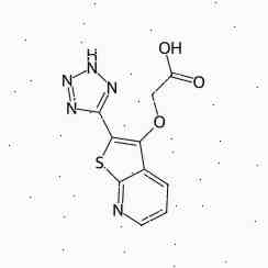 O=C(O)COc1c(-c2nn[nH]n2)sc2ncccc12